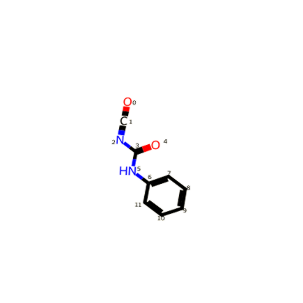 O=C=NC(=O)Nc1ccccc1